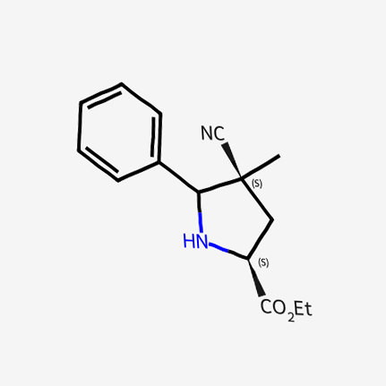 CCOC(=O)[C@@H]1C[C@](C)(C#N)C(c2ccccc2)N1